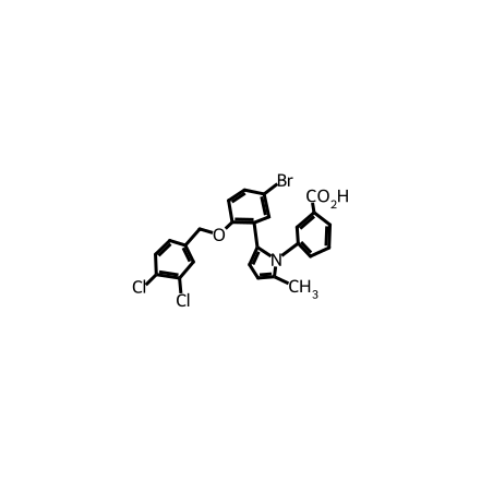 Cc1ccc(-c2cc(Br)ccc2OCc2ccc(Cl)c(Cl)c2)n1-c1cccc(C(=O)O)c1